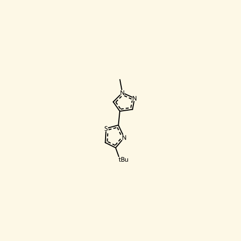 Cn1cc(-c2nc(C(C)(C)C)cs2)cn1